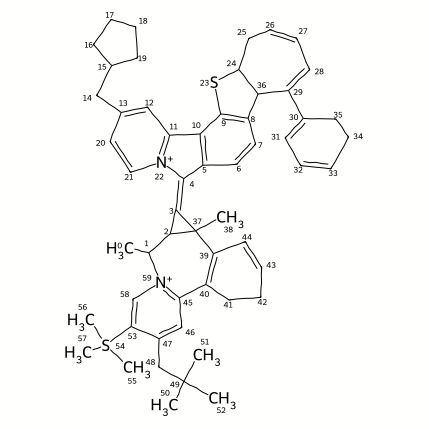 CC1C2/C(=C3/c4ccc5c(c4-c4cc(CC6CCCC6)cc[n+]43)SC3CC=CC=C(C4=CC=CCC4)C53)C2(C)C2=C(CCC=C2)c2cc(CC(C)(C)C)c(S(C)(C)C)c[n+]21